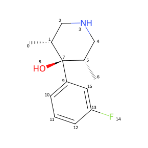 C[C@@H]1CNC[C@H](C)[C@]1(O)c1cccc(F)c1